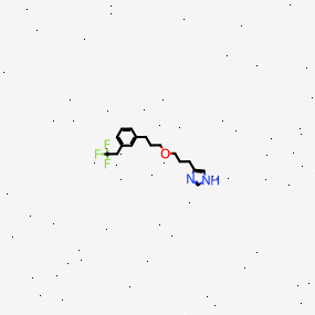 FC(F)(F)Cc1cccc(CCCOCCCc2c[nH]cn2)c1